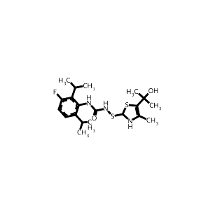 CC1=C(C(C)(C)O)SC(SNC(=O)Nc2c(C(C)C)ccc(F)c2C(C)C)N1